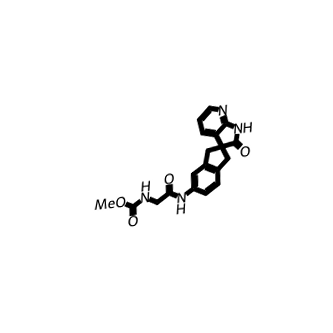 COC(=O)NCC(=O)Nc1ccc2c(c1)CC1(C2)C(=O)Nc2ncccc21